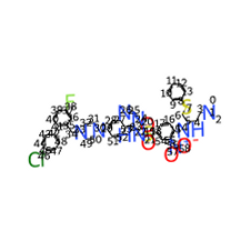 CN(C)CCC(CSc1ccccc1)Nc1ccc(S(=O)(=O)Nc2ncnc3cc(N4CCN(Cc5cc(F)ccc5-c5ccc(Cl)cc5)CC4)ccc23)cc1[N+](=O)[O-]